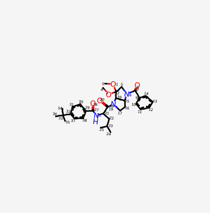 COC1(OC)CN(C(=O)c2ccccc2)C2CCN(C(=O)C(CC(C)C)NC(=O)c3ccc(C(C)(C)C)cc3)C21